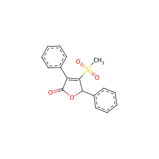 CS(=O)(=O)C1=C(c2ccccc2)C(=O)OC1c1ccccc1